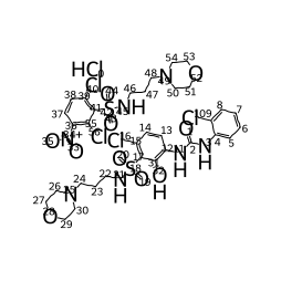 Cl.O=C(Nc1ccccc1Cl)Nc1ccc(Cl)c(S(=O)(=O)NCCCN2CCOCC2)c1O.O=[N+]([O-])c1ccc(Cl)c(S(=O)(=O)NCCCN2CCOCC2)c1Cl